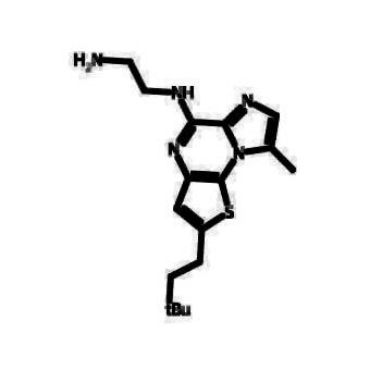 Cc1cnc2c(NCCN)nc3cc(CCC(C)(C)C)sc3n12